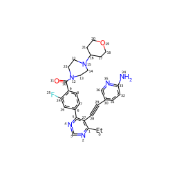 CCc1ncnc(-c2ccc(C(=O)N3CCN(C4CCOCC4)CC3)c(F)c2)c1C#Cc1ccc(N)nc1